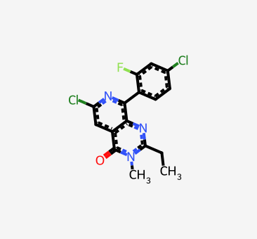 CCc1nc2c(-c3ccc(Cl)cc3F)nc(Cl)cc2c(=O)n1C